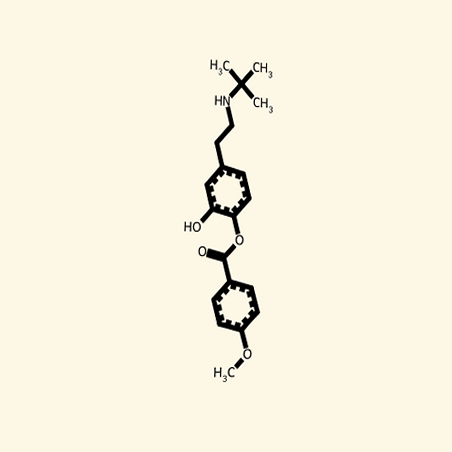 COc1ccc(C(=O)Oc2ccc(CCNC(C)(C)C)cc2O)cc1